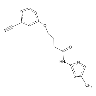 Cc1cnc(NC(=O)CCCOc2cccc(C#N)c2)s1